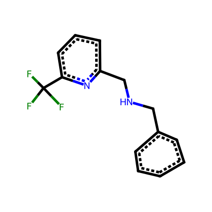 FC(F)(F)c1cccc(CNCc2ccccc2)n1